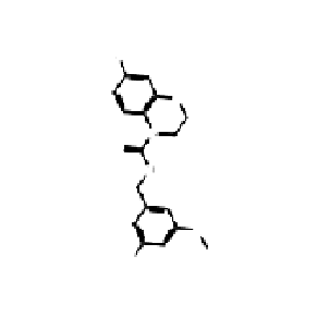 COc1cc(F)cc(CNC(=O)N2CCOc3cc(Br)ccc32)c1